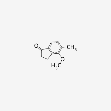 COc1c(C)ccc2c1CCC2=O